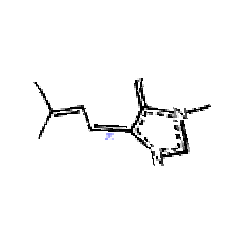 C=c1/c(=C\C=C(C)C)ncn1C